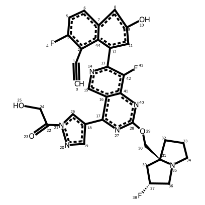 C#Cc1c(F)ccc2cc(O)cc(-c3ncc4c(-c5cnn(C(=O)CO)c5)nc(OC[C@@]56CCCN5C[C@H](F)C6)nc4c3F)c12